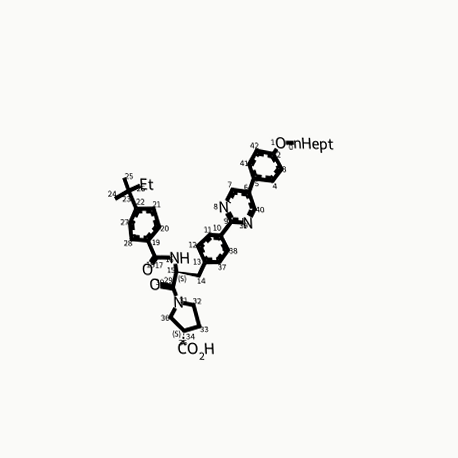 CCCCCCCOc1ccc(-c2cnc(-c3ccc(C[C@H](NC(=O)c4ccc(C(C)(C)CC)cc4)C(=O)N4CC[C@H](C(=O)O)C4)cc3)nc2)cc1